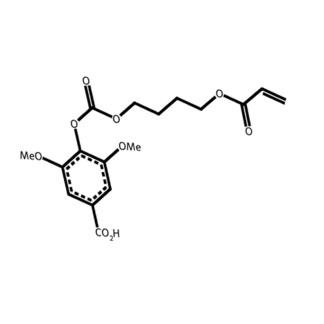 C=CC(=O)OCCCCOC(=O)Oc1c(OC)cc(C(=O)O)cc1OC